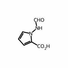 O=CNn1cccc1C(=O)O